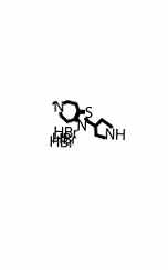 Br.Br.Br.CN1CCc2nc(C3CCNCC3)sc2CC1